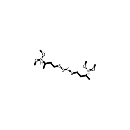 CO[SiH](OC)C(C)CCSSSSCCC(C)[SiH](OC)OC